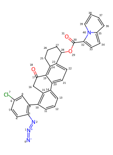 [N-]=[N+]=Nc1ccc(Cl)cc1-c1cccc2c1CC(=O)c1c-2ccc2c1CCCC2OC(=O)c1ccc2ccccn12